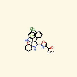 COC(=O)c1coc([C@@H]2NC3(CCCCC3)[C@@]3(C(=O)Nc4cc(Cl)ccc43)C2c2cccc(Cl)c2F)n1